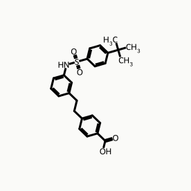 CC(C)(C)c1ccc(S(=O)(=O)Nc2cccc(CCc3ccc(C(=O)O)cc3)c2)cc1